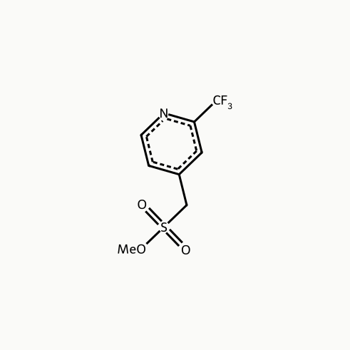 COS(=O)(=O)Cc1ccnc(C(F)(F)F)c1